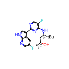 CC(C)(C)[C@@H](CC(O)C(F)(F)F)Nc1nc(-c2c[nH]c3ncc(F)cc23)ncc1F